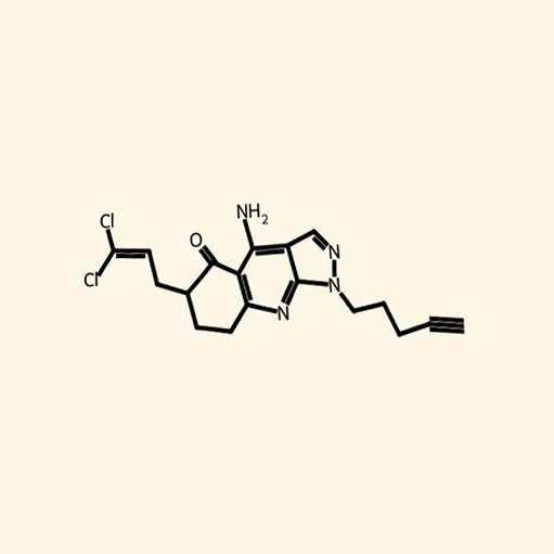 C#CCCCn1ncc2c(N)c3c(nc21)CCC(CC=C(Cl)Cl)C3=O